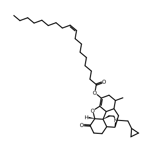 CCCCCCCC/C=C\CCCCCCCC(=O)OC1=C2O[C@H]3C(=O)CCC4C5CC(C(C)C1)C2[C@]43CCN5CC1CC1